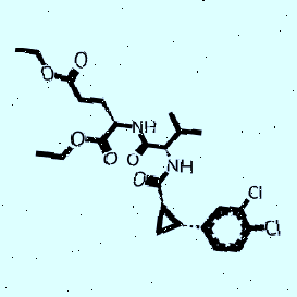 CCOC(=O)CC[C@@H](NC(=O)[C@@H](NC(=O)[C@@H]1C[C@H]1c1ccc(Cl)c(Cl)c1)C(C)C)C(=O)OCC